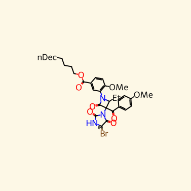 CCCCCCCCCCCCCCOC(=O)c1ccc(OC)c(N2C(=O)C(C(=O)c3ccc(OC)cc3)(N3C(=O)N[C@H](Br)C3=O)C2CC)c1